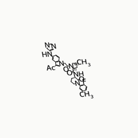 CC(=O)c1cn(CC(=O)N2C[C@H](C)C[C@H]2C(=O)NC2CCCN(c3cc(C)ccc3F)C2=O)c2ccc(Nc3cncnc3)cc12